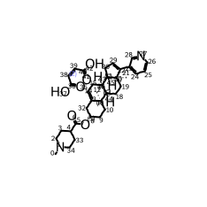 CN1CCC(C(=O)O[C@H]2CC[C@@]3(C)C(=CC[C@@H]4[C@@H]3CC[C@]3(C)C(c5cccnc5)=CC[C@@H]43)C2)CC1.O=C(O)/C=C\C(=O)O